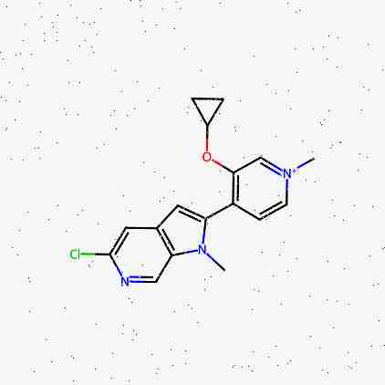 Cn1c(-c2cc[n+](C)cc2OC2CC2)cc2cc(Cl)ncc21